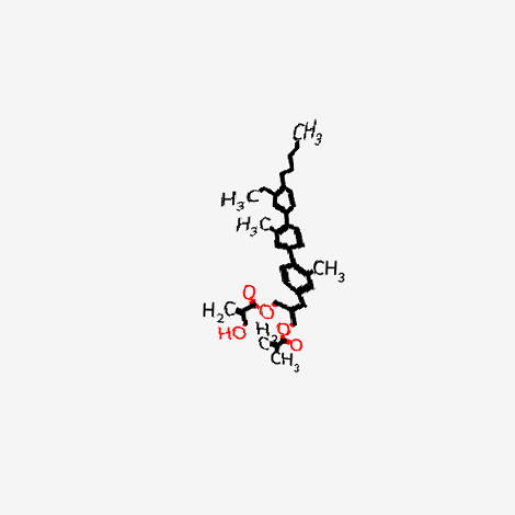 C=C(C)C(=O)OCC(COC(=O)C(=C)CO)Cc1ccc(-c2ccc(-c3ccc(CCCCC)c(CC)c3)c(C)c2)c(C)c1